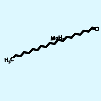 CCCCCCCCCCCCCCCCCCCC=O.[MgH2]